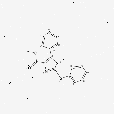 COC(=O)c1nc(Sc2ccccc2)sc1-c1ccccc1